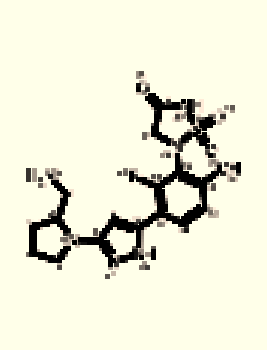 NCC1CCCN1c1cc(-c2ccc(O)c(N3CC(=O)NS3(=O)=O)c2F)[nH]n1